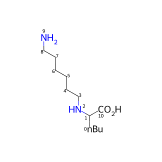 CCCCC(NCCCCCCN)C(=O)O